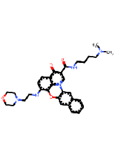 CN(C)CCCCNC(=O)c1cn2c3c(c(NCCN4CCOCC4)ccc3c1=O)Oc1cc3ccccc3cc1-2